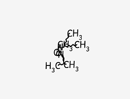 CCCCCCC(CCCCCC)CN(C)C[C@H]1CN(CC#CC(C)CCC)CCO1